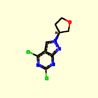 Clc1nc(Cl)c2cn([C@H]3CCOC3)nc2n1